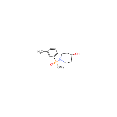 COP(=O)(c1cccc(C)c1)N1CCC(O)CC1